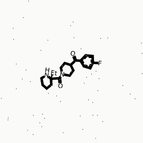 CC[C@@]1(C(=O)N2CCC(C(=O)c3ccc(F)cc3)CC2)CCCCN1